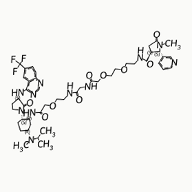 CC(C)N(C)[C@@H]1CC[C@H](N2CC[C@H](Nc3ncnc4ccc(C(F)(F)F)cc34)C2=O)[C@H](NC(=O)COCCNC(=O)CNC(=O)COCCOCCNC(=O)[C@H]2CC(=O)N(C)[C@@H]2c2cccnc2)C1